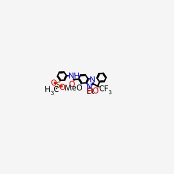 CCn1c(C(O)(c2ccccc2)C(F)(F)F)nc2ccc(C(=O)Nc3cccc(S(C)(=O)=O)c3)c(OC)c21